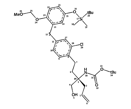 C=CC[C@@](CO)(CCc1ccc(Sc2cc(O[Si](C)(C)C(C)(C)C)ccc2OCOC)cc1Cl)NC(=O)OC(C)(C)C